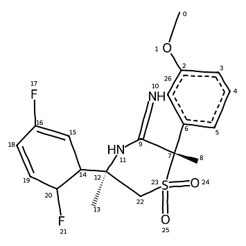 COc1cccc([C@@]2(C)C(=N)N[C@](C)(C3C=C(F)C=CC3F)CS2(=O)=O)c1